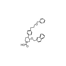 O=C(O)N1CCC(c2ccc(CCCOCc3ccccc3)cc2)C(OCc2ccc3ccccc3c2)C1